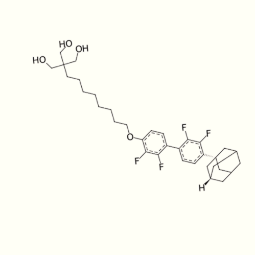 OCC(CO)(CO)CCCCCCCCOc1ccc(-c2ccc([C@]34CC5CC(C[C@H](C5)C3)C4)c(F)c2F)c(F)c1F